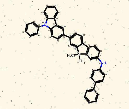 C[Si]1(C)c2cc(Nc3ccc(-c4ccccc4)cc3)ccc2-c2ccc(-c3ccc4c(c3)c3ccccc3n4-c3ccccc3)cc21